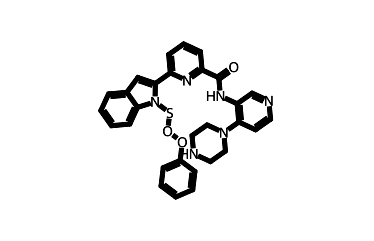 O=C(Nc1cnccc1N1CCNCC1)c1cccc(-c2cc3ccccc3n2SOOc2ccccc2)n1